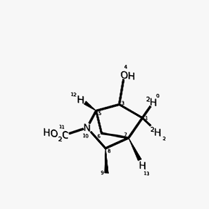 [2H]C1([2H])C(O)[C@@H]2C[C@H]1[C@@H](C)N2C(=O)O